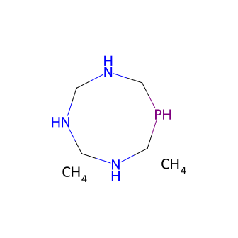 C.C.C1NCNCPCN1